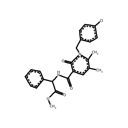 COC(=O)C(NC(=O)c1cc(C)c(C)n(Cc2ccc(Cl)cc2)c1=O)c1ccccc1